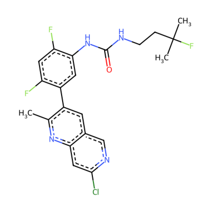 Cc1nc2cc(Cl)ncc2cc1-c1cc(NC(=O)NCCC(C)(C)F)c(F)cc1F